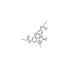 CCCC(=O)Oc1ccc2c(c1)Oc1cc(OC(=O)CCC)ccc1C21OC(=O)c2cc(C)ccc21